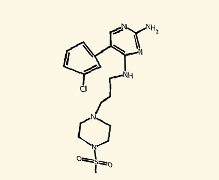 CS(=O)(=O)N1CCN(CCCNc2nc(N)ncc2-c2cccc(Cl)c2)CC1